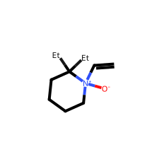 C=C[N+]1([O-])CCCCC1(CC)CC